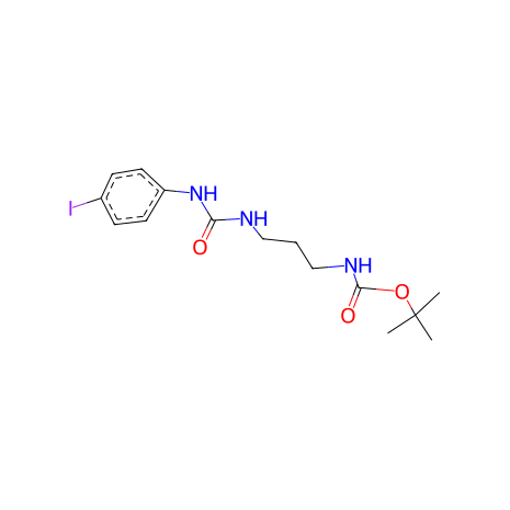 CC(C)(C)OC(=O)NCCCNC(=O)Nc1ccc(I)cc1